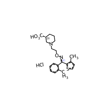 Cc1ccccc1/C(=N\OCCN1CCC[C@H](C(=O)O)C1)c1sccc1C.Cl